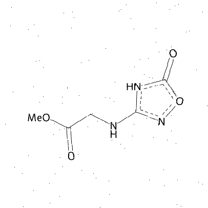 COC(=O)CNc1noc(=O)[nH]1